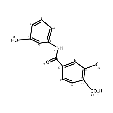 O=C(Nc1cccc(O)c1)c1ccc(C(=O)O)c(Cl)c1